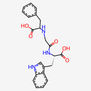 O=C(CNC(Cc1ccccc1)C(=O)O)N[C@@H](Cc1c[nH]c2ccccc12)C(=O)O